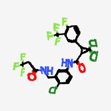 O=C(CC(F)(F)F)NCc1cc(NC(=O)C2C(c3ccc(F)c(C(F)(F)F)c3)C2(Cl)Cl)ccc1Cl